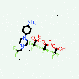 NC1CCC(N2CCN(CC(F)F)CC2)CC1.O=C(O)C(F)(F)F.O=C(O)C(F)(F)F.O=C(O)C(F)(F)F